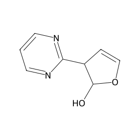 OC1OC=CC1c1ncccn1